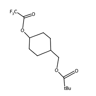 CC(C)(C)C(=O)OCC1CCC(OC(=O)C(F)(F)F)CC1